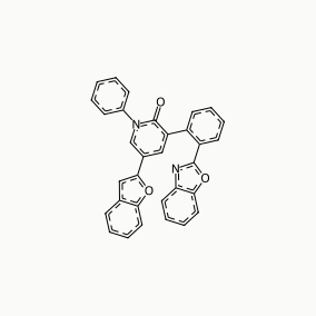 O=c1c(-c2ccccc2-c2nc3ccccc3o2)cc(-c2cc3ccccc3o2)cn1-c1ccccc1